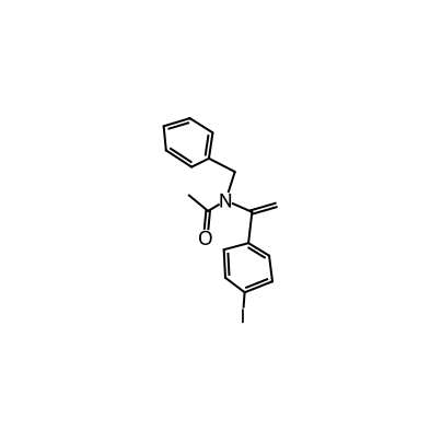 C=C(c1ccc(I)cc1)N(Cc1ccccc1)C(C)=O